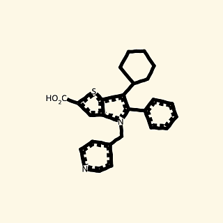 O=C(O)c1cc2c(s1)c(C1CCCCC1)c(-c1ccccc1)n2Cc1ccncc1